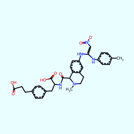 Cc1ccc(NC(=C[N+](=O)[O-])Nc2ccc3c(c2)CCN(C)C3C(=O)NC(Cc2ccc(CCC(=O)O)cc2)C(=O)O)cc1